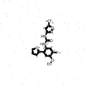 CCOc1cc(-c2ccco2)c(NC(=O)Nc2cc(C(F)(F)F)on2)cc1F